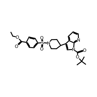 CCOC(=O)c1ccc(S(=O)(=O)N2CCC(c3cn(C(=O)OC(C)(C)C)c4ncccc34)CC2)cc1